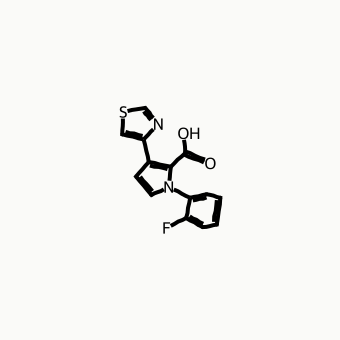 O=C(O)c1c(-c2cscn2)ccn1-c1ccccc1F